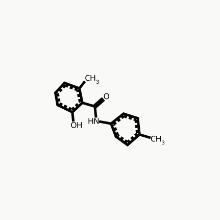 Cc1ccc(NC(=O)c2c(C)cccc2O)cc1